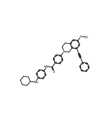 CCOc1cc(C#Cc2ccccc2)c2c(c1)CCN(c1ccc(C(=O)Nc3ccc(NC4CCCCC4)cc3)cc1)C2